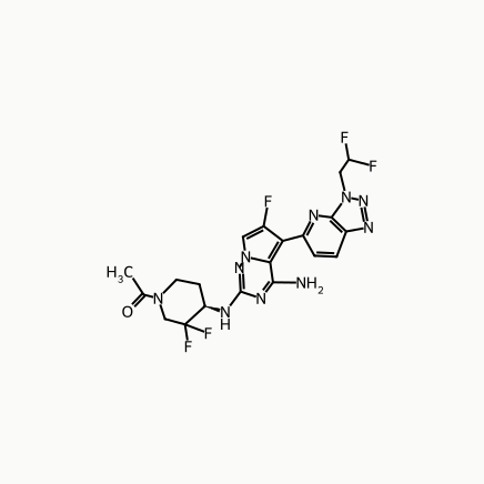 CC(=O)N1CC[C@@H](Nc2nc(N)c3c(-c4ccc5nnn(CC(F)F)c5n4)c(F)cn3n2)C(F)(F)C1